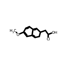 COc1ccc2c(c1)=CCC(CC(O)Cl)C=2